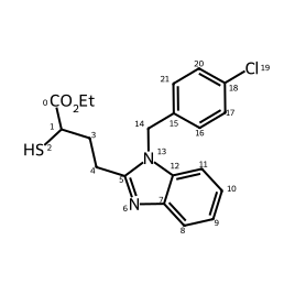 CCOC(=O)C(S)CCc1nc2ccccc2n1Cc1ccc(Cl)cc1